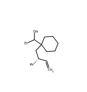 C=C[C@@H](CC1(C(O)CC)CCCCC1)C(C)C